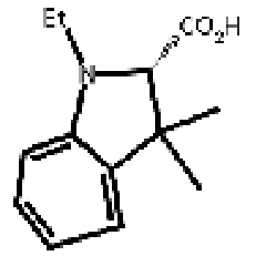 CCN1c2ccccc2C(C)(C)[C@H]1C(=O)O